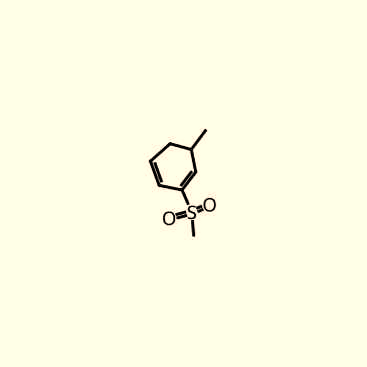 CC1C=C(S(C)(=O)=O)C=CC1